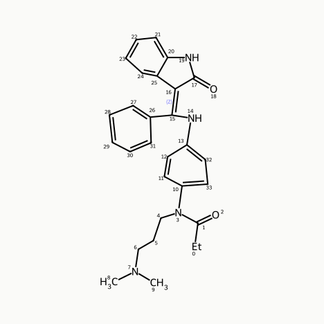 CCC(=O)N(CCCN(C)C)c1ccc(N/C(=C2\C(=O)Nc3ccccc32)c2ccccc2)cc1